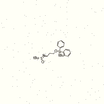 CC(C)(C)[S@@+]([O-])N=CCCO[Si](c1ccccc1)(c1ccccc1)C(C)(C)C